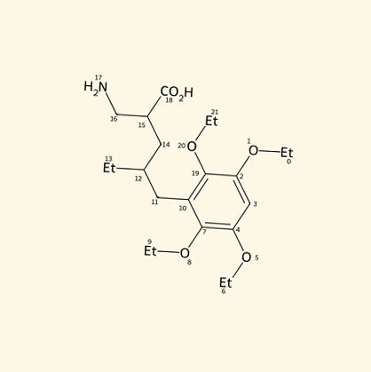 CCOc1cc(OCC)c(OCC)c(CC(CC)CC(CN)C(=O)O)c1OCC